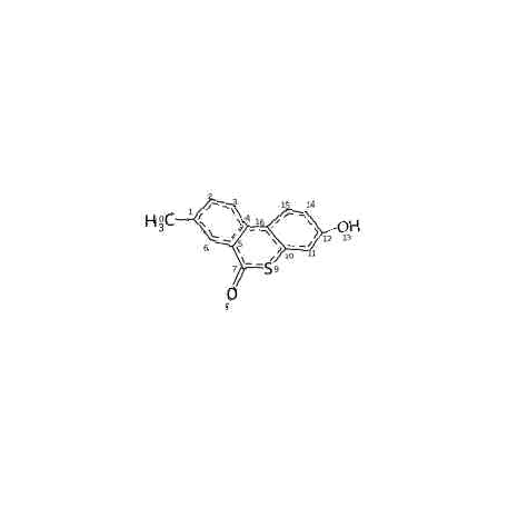 Cc1ccc2c(c1)c(=O)sc1cc(O)ccc12